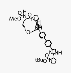 COC(=O)N[C@@H]1C(=O)N2CCC[C@H]2c2nc(-c3ccc(-c4ccc(-c5c[nH]c([C@@H]6CCCN6C(=O)OC(C)(C)C)n5)cc4)cc3)c([nH]2)COC/C=C/[C@@H]1C